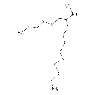 CNC(COCCSSCCN)CSSCCN